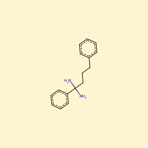 NC(N)(CCCc1ccccc1)c1ccccc1